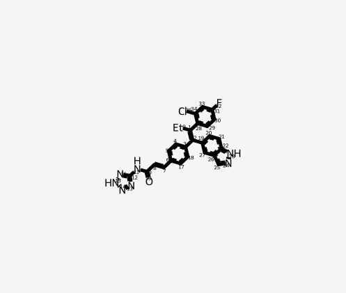 CCC(=C(c1ccc(C=CC(=O)Nc2nn[nH]n2)cc1)c1ccc2[nH]ncc2c1)c1ccc(F)cc1Cl